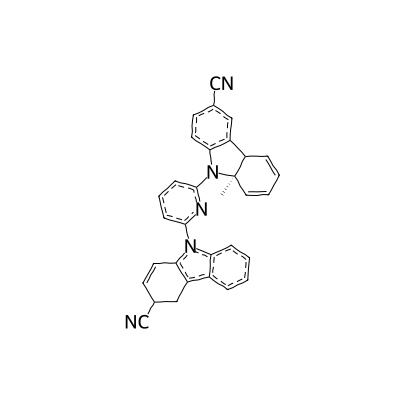 C[C@@]12C=CC=CC1c1cc(C#N)ccc1N2c1cccc(-n2c3c(c4ccccc42)CC(C#N)C=C3)n1